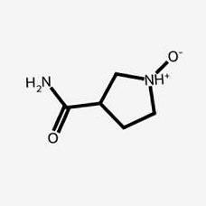 NC(=O)C1CC[NH+]([O-])C1